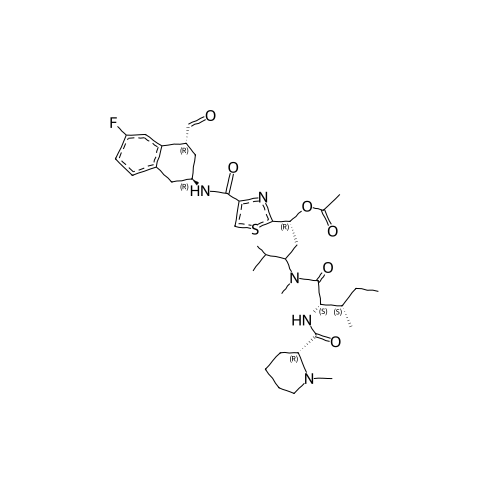 CC[C@H](C)[C@H](NC(=O)[C@H]1CCCCN1C)C(=O)N(C)C(C[C@@H](OC(C)=O)c1nc(C(=O)N[C@H]2Cc3ccc(F)cc3[C@H](C=O)C2)cs1)C(C)C